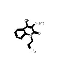 C=CCn1c(=O)c(CCCCC)c(O)c2ccccc21